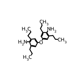 CCCc1cc(Oc2cc(CCC)c(N)c(CCC)c2)cc(CCC)c1N